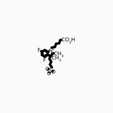 CC1=[N+](CCCCCC(=O)O)c2cc(F)cc(F)c2C1(C)CCCCS(=O)(=O)[O-]